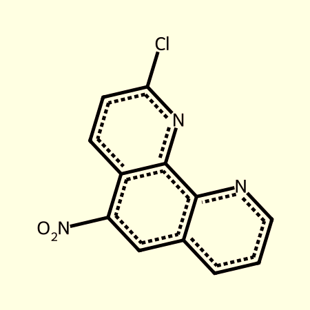 O=[N+]([O-])c1cc2cccnc2c2nc(Cl)ccc12